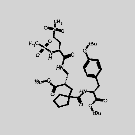 CC(C)(C)OC(=O)[C@H](CNC(=O)[C@H](CCS(C)(=O)=O)NS(C)(=O)=O)CC1(C(=O)N[C@@H](Cc2ccc(OC(C)(C)C)cc2)C(=O)OC(C)(C)C)CCCC1